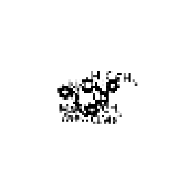 CCOCCn1c(N2CCCN(CCC(CN(C)C(=O)c3cc(OC)c(OC)c(OC)c3)c3ccc(C)c(C)c3)CC2)nc2ccccc21